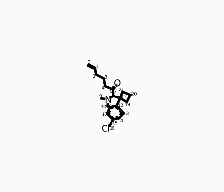 C=CCCCC(=O)C(N(C)C)C1(c2ccc(Cl)cc2)CCC1